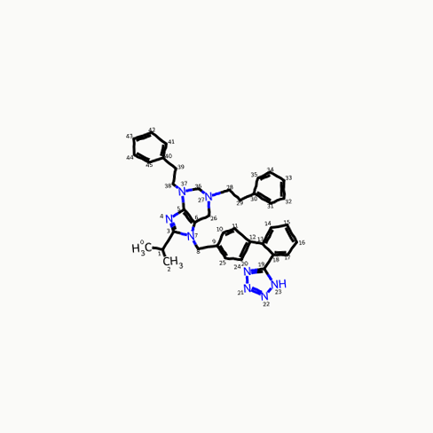 CC(C)c1nc2c(n1Cc1ccc(-c3ccccc3-c3nnn[nH]3)cc1)CN(CCc1ccccc1)CN2CCc1ccccc1